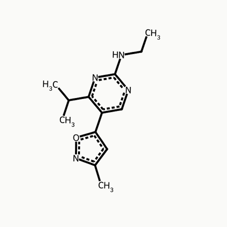 CCNc1ncc(-c2cc(C)no2)c(C(C)C)n1